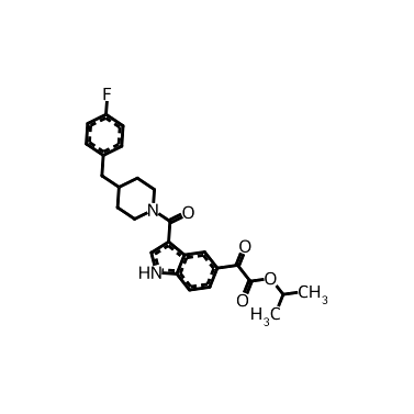 CC(C)OC(=O)C(=O)c1ccc2[nH]cc(C(=O)N3CCC(Cc4ccc(F)cc4)CC3)c2c1